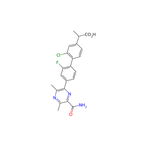 Cc1nc(C)c(-c2ccc(-c3ccc(C(C)C(=O)O)cc3Cl)c(F)c2)nc1C(N)=O